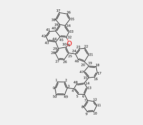 c1ccc(-c2cc(-c3ccccc3)cc(-c3cccc(-c4cccc(-c5cccc6c5Oc5cc7ccccc7c7cccc-6c57)c4)c3)c2)cc1